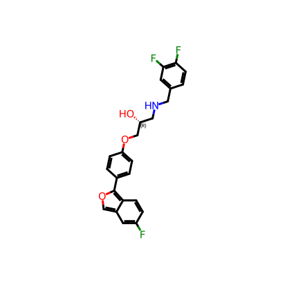 O[C@H](CNCc1ccc(F)c(F)c1)COc1ccc(-c2occ3cc(F)ccc23)cc1